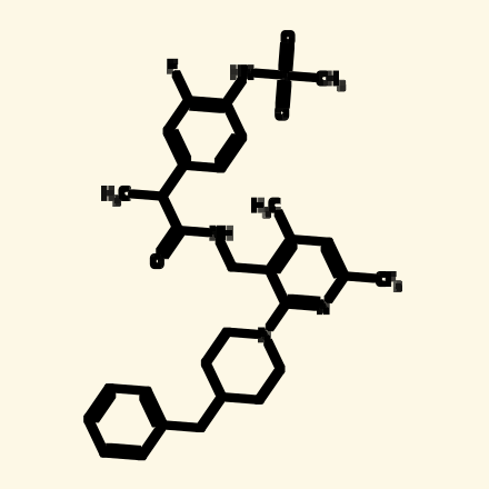 Cc1cc(C(F)(F)F)nc(N2CCC(Cc3ccccc3)CC2)c1CNC(=O)C(C)c1ccc(NS(C)(=O)=O)c(F)c1